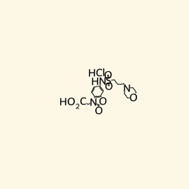 Cl.O=C(O)Cn1c(=O)oc2cc(NS(=O)(=O)CCCN3CCOCC3)ccc21